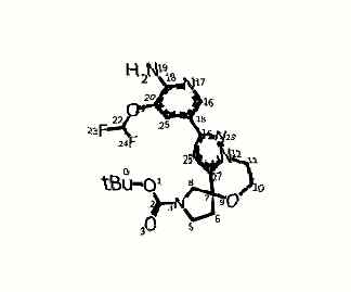 CC(C)(C)OC(=O)N1CC[C@]2(C1)OCCn1nc(-c3cnc(N)c(OC(F)F)c3)cc12